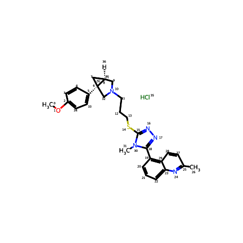 COc1ccc([C@]23C[C@H]2CN(CCCSc2nnc(-c4cccc5nc(C)ccc45)n2C)C3)cc1.Cl